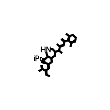 C#C/C(=C\C(=C/C)C(=C)C)CC1CC(C(C)/C(C)=C/C(=C)C2=C(C)CCC=C2C)CNCC1CC(C)C